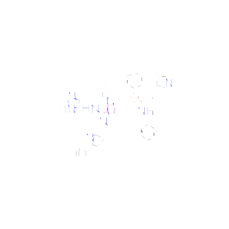 CC(C)c1nc(CN(C)C(=O)NC(Cc2c[nH]cn2)C(=O)NC(CCC(Cc2ccccc2)NC(=O)OCc2cncs2)Cc2ccccc2)cs1